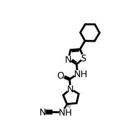 N#CN[C@@H]1CCN(C(=O)Nc2ncc(C3CCCCC3)s2)C1